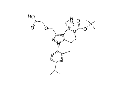 Cc1cc(C(C)C)ccc1-n1nc(COCC(=O)O)c2c1CCN(C(=O)OC(C)(C)C)[C@H]2CN